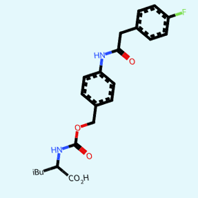 CCC(C)C(NC(=O)OCc1ccc(NC(=O)Cc2ccc(F)cc2)cc1)C(=O)O